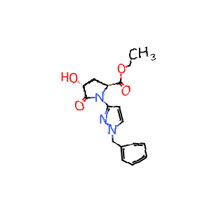 CCOC(=O)[C@@H]1C[C@@H](O)C(=O)N1c1ccn(Cc2ccccc2)n1